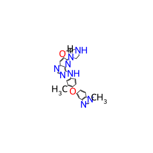 Cc1cc(Nc2ncnc3cc4c(nc23)N2CCNC[C@H]2CO4)ccc1Oc1ccc2c(c1)ncn2C